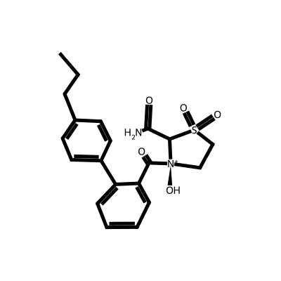 CCCc1ccc(-c2ccccc2C(=O)[N@@+]2(O)CCS(=O)(=O)C2C(N)=O)cc1